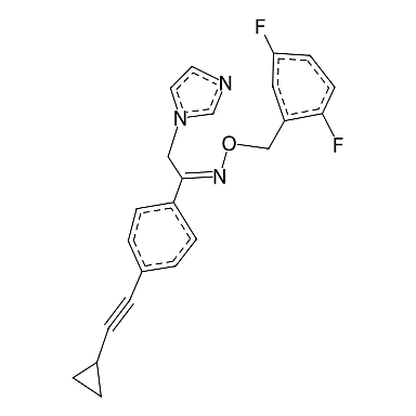 Fc1ccc(F)c(CO/N=C(\Cn2ccnc2)c2ccc(C#CC3CC3)cc2)c1